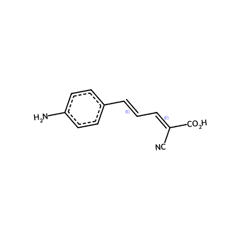 N#C/C(=C\C=C\c1ccc(N)cc1)C(=O)O